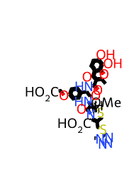 CO[C@@]1(NC(=O)C(NC(=O)c2c(C)oc3c(O)c(O)ccc3c2=O)c2ccc(OCC(=O)O)cc2)C(=O)N2C(C(=O)O)=C(CSc3nnnn3C)CS[C@H]21